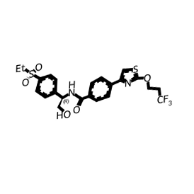 CCS(=O)(=O)c1ccc([C@H](CO)NC(=O)c2ccc(-c3csc(OCCC(F)(F)F)n3)cc2)cc1